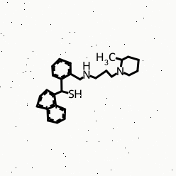 CC1CCCCN1CCCNCc1ccccc1C(S)c1cccc2ccccc12